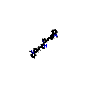 Cn1c2ccccc2c2cc(/C=C/c3ccnc(-c4cc(/C=C/c5ccc6c(c5)c5ccccc5n6C)ccn4)c3)ccc21